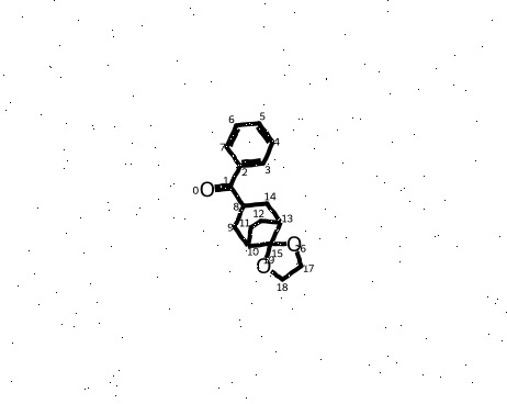 O=C(c1ccccc1)C1CC2CCC(C1)C21OCCO1